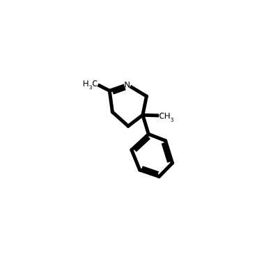 CC1=NCC(C)(c2ccccc2)CC1